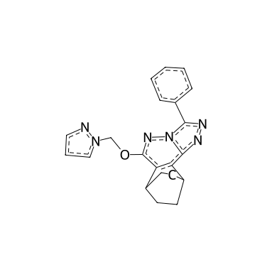 c1ccc(-c2nnc3c4c(c(OCn5cccn5)nn23)C2CCC4CC2)cc1